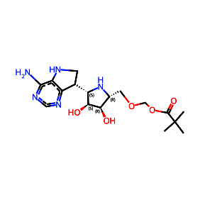 CC(C)(C)C(=O)OCOC[C@H]1N[C@@H](C2CNc3c(N)ncnc32)[C@H](O)[C@@H]1O